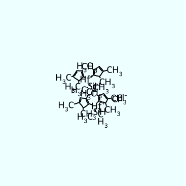 CC1=CC(C)=[C]([Hf+]([C]2=C(C)C=C(C)C2C)[SiH](C)C)C1C.CC1=CC(C)=[C]([Hf+]([C]2=C(C)C=C(C)C2C)[SiH](C)C)C1C.[Cl-].[Cl-]